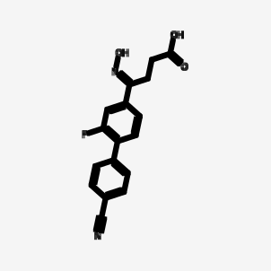 N#Cc1ccc(-c2ccc(C(CCC(=O)O)=NO)cc2F)cc1